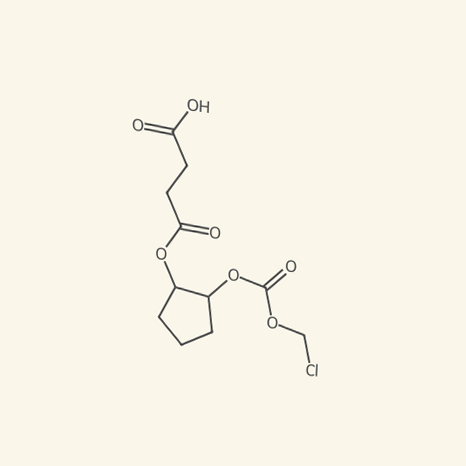 O=C(O)CCC(=O)OC1CCCC1OC(=O)OCCl